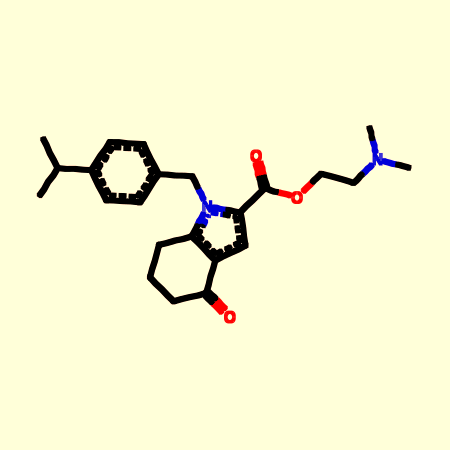 CC(C)c1ccc(Cn2c(C(=O)OCCN(C)C)cc3c2CCCC3=O)cc1